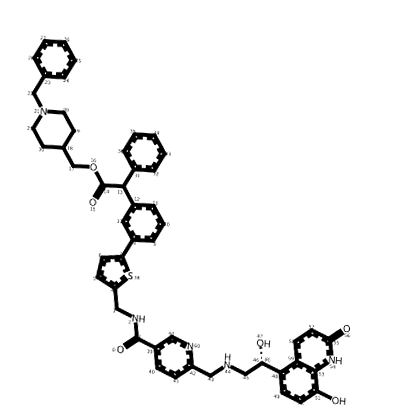 O=C(NCc1ccc(-c2cccc(C(C(=O)OCC3CCN(Cc4ccccc4)CC3)c3ccccc3)c2)s1)c1ccc(CNC[C@H](O)c2ccc(O)c3[nH]c(=O)ccc23)nc1